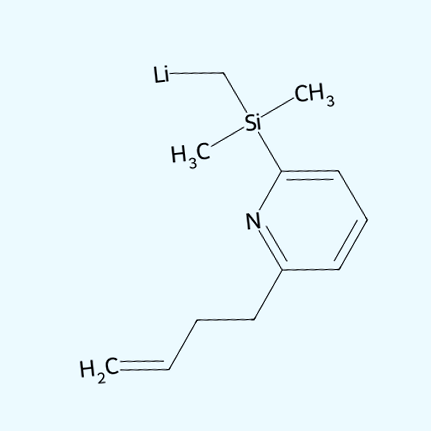 [Li][CH2][Si](C)(C)c1cccc(CCC=C)n1